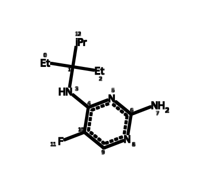 CCC(CC)(Nc1nc(N)ncc1F)C(C)C